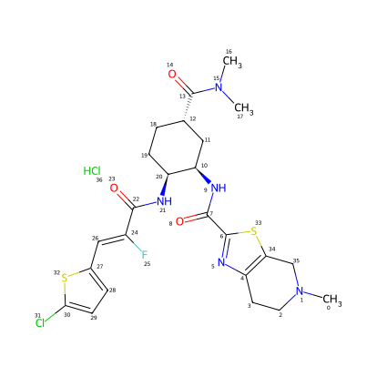 CN1CCc2nc(C(=O)N[C@@H]3C[C@@H](C(=O)N(C)C)CC[C@@H]3NC(=O)C(F)=Cc3ccc(Cl)s3)sc2C1.Cl